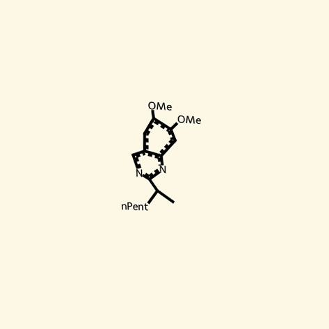 CCCCCC(C)c1ncc2cc(OC)c(OC)cc2n1